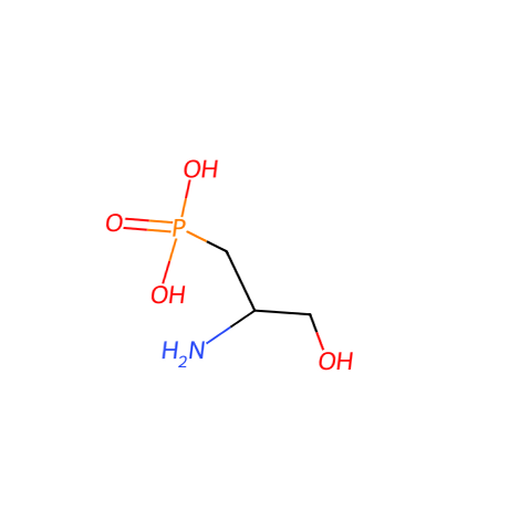 NC(CO)CP(=O)(O)O